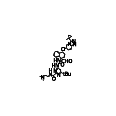 CN(C)CCNC(=O)c1nc(NC(=O)N[C@@]2(C=O)C=C[C@@H](Oc3ccc4nnc(C5(C)CC5)n4c3)c3ccccc32)cc(C(C)(C)C)n1